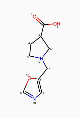 O=C(O)C1CCN(Cc2cnco2)C1